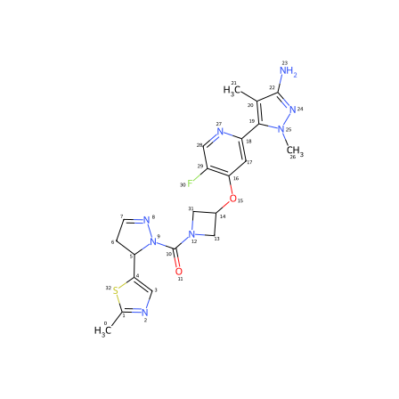 Cc1ncc(C2CC=NN2C(=O)N2CC(Oc3cc(-c4c(C)c(N)nn4C)ncc3F)C2)s1